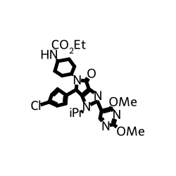 CCOC(=O)N[C@H]1CC[C@H](N2C(=O)c3nc(-c4cnc(OC)nc4OC)n(C(C)C)c3C2c2ccc(Cl)cc2)CC1